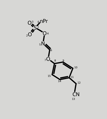 CCCS(=O)(=O)ON=COc1ccc(CC#N)cc1